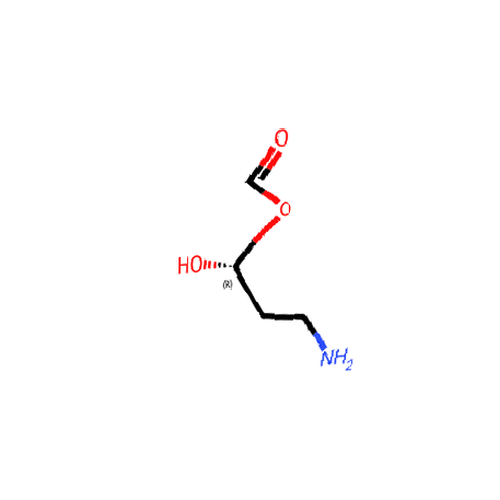 NCC[C@H](O)OC=O